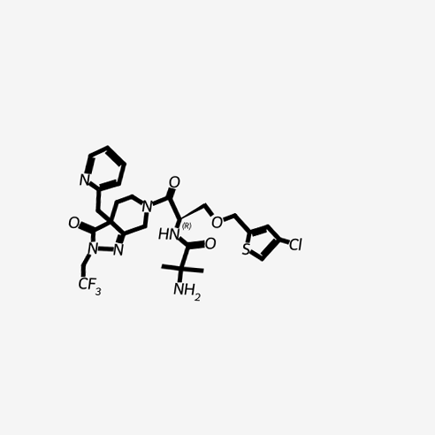 CC(C)(N)C(=O)N[C@H](COCc1cc(Cl)cs1)C(=O)N1CCC2(Cc3ccccn3)C(=O)N(CC(F)(F)F)N=C2C1